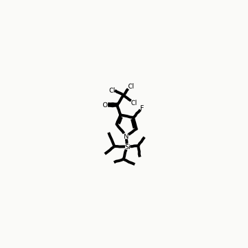 CC(C)[Si](C(C)C)(C(C)C)n1cc(F)c(C(=O)C(Cl)(Cl)Cl)c1